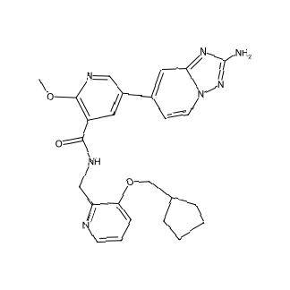 COc1ncc(-c2ccn3nc(N)nc3c2)cc1C(=O)NCc1ncccc1OCC1CCCC1